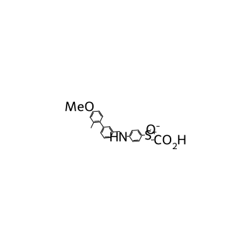 COc1ccc(-c2cccc(CNc3ccc([S+]([O-])CC(=O)O)cc3)c2)c(C)c1